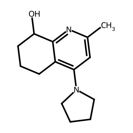 Cc1cc(N2CCCC2)c2c(n1)C(O)CCC2